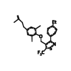 C=C(C)CCc1cc(C)c(OCc2c(-c3ccc(CC)cc3)nsc2C(F)(F)F)c(C)c1